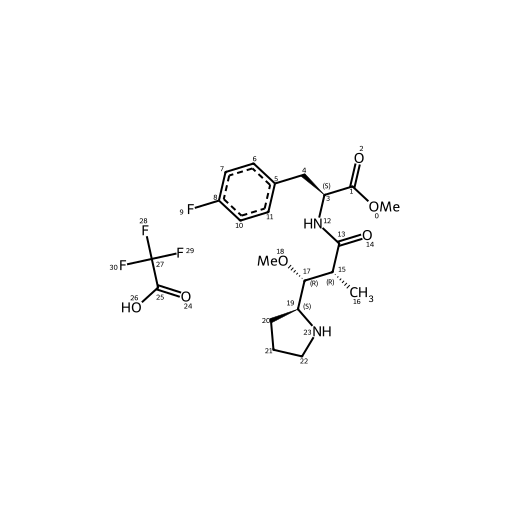 COC(=O)[C@H](Cc1ccc(F)cc1)NC(=O)[C@H](C)[C@@H](OC)[C@@H]1CCCN1.O=C(O)C(F)(F)F